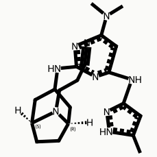 Cc1cc(Nc2cc(N(C)C)nc(NC3C[C@H]4CC[C@@H](C3)N4CCC#N)n2)n[nH]1